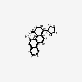 CCC1C=c2ccccc2=c2ccc3c(c21)C(=O)CCC=3C1CCCC1